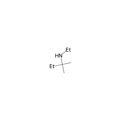 [CH2]CC(C)(C)NCC